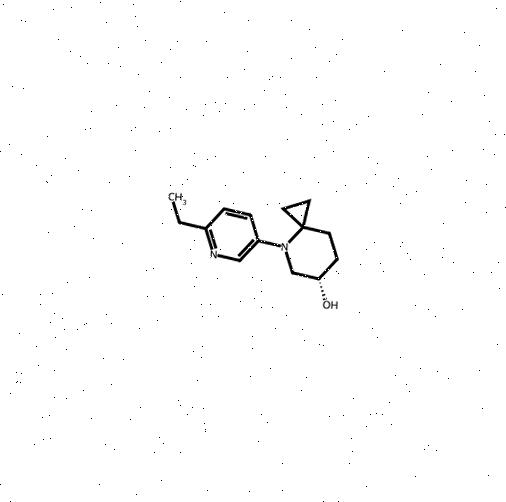 CCc1ccc(N2C[C@@H](O)CCC23CC3)cn1